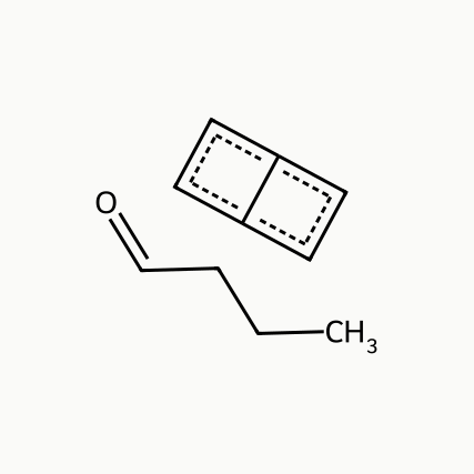 CCCC=O.c1cc2ccc1-2